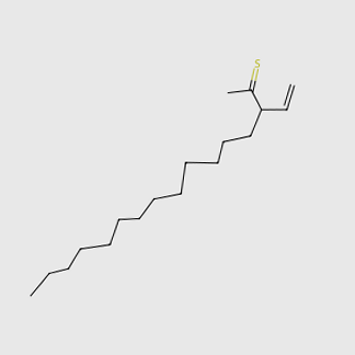 C=CC(CCCCCCCCCCCCC)C(C)=S